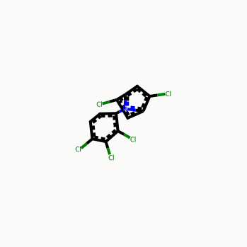 Clc1ccc(-n2c3cc(Cl)c2cc3Cl)c(Cl)c1Cl